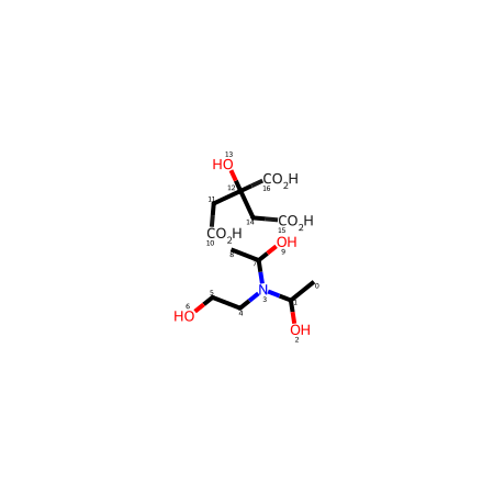 CC(O)N(CCO)C(C)O.O=C(O)CC(O)(CC(=O)O)C(=O)O